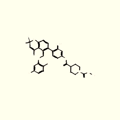 COc1cc(OC(=O)C2CCN(C(=O)OC(C)(C)C)CC2)ccc1-c1ccc2c(c1COc1cc(F)ccc1C)C(C)=CC(C)(C)N2